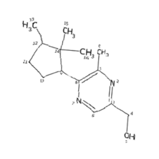 Cc1nc(CO)cnc1C1CCC(C)C1(C)C